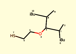 CCC(C)C(C)C(OCCS)C(C)C(C)CC